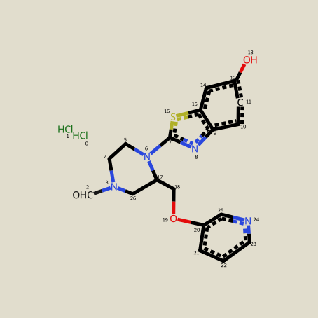 Cl.Cl.O=CN1CCN(c2nc3ccc(O)cc3s2)C(COc2cccnc2)C1